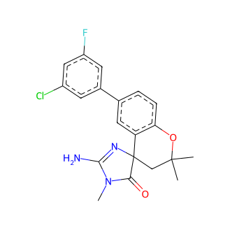 CN1C(=O)C2(CC(C)(C)Oc3ccc(-c4cc(F)cc(Cl)c4)cc32)N=C1N